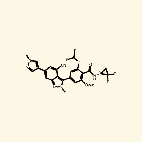 COc1cc(-c2c3c(C#N)cc(-c4cnn(C)c4)cc3nn2C)cc(OC(F)F)c1C(=O)N[C@@H]1CC1(F)F